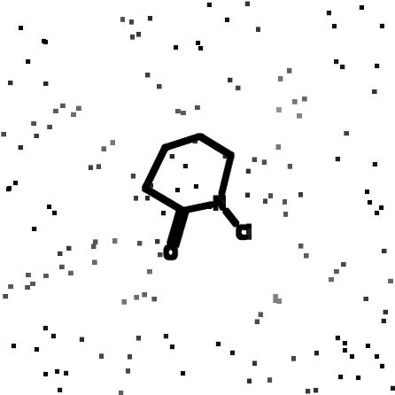 O=C1CCCCN1Cl